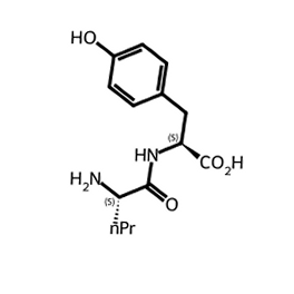 CCC[C@H](N)C(=O)N[C@@H](Cc1ccc(O)cc1)C(=O)O